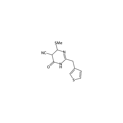 CSC1N=C(Cc2ccsc2)NC(=O)C1C#N